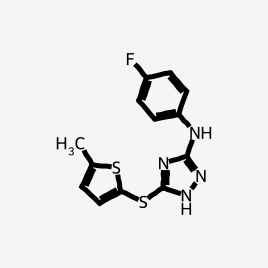 Cc1ccc(Sc2nc(Nc3ccc(F)cc3)n[nH]2)s1